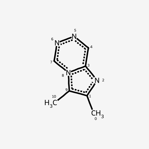 Cc1nc2cnncn2c1C